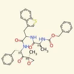 C[C@H](NC(=O)OCc1ccccc1)C(=O)NC(Cc1csc2ccccc12)C(=O)N[C@@H](Cc1ccccc1)C(=O)[C@@]1(C)CO1